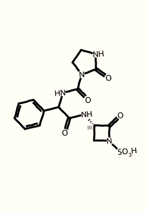 O=C(N[C@H]1CN(S(=O)(=O)O)C1=O)C(NC(=O)N1CCNC1=O)c1ccccc1